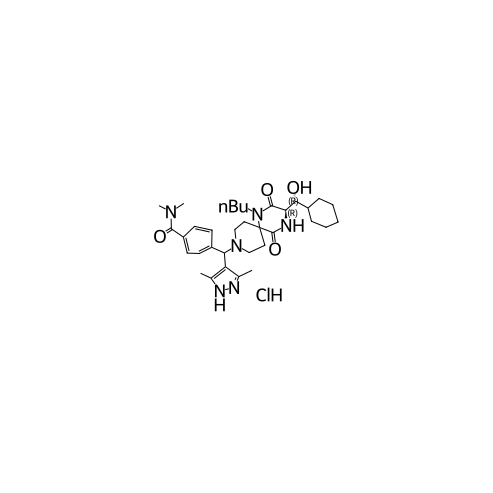 CCCCN1C(=O)[C@@H]([C@H](O)C2CCCCC2)NC(=O)C12CCN(C(c1ccc(C(=O)N(C)C)cc1)c1c(C)n[nH]c1C)CC2.Cl